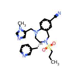 CCCS(=O)(=O)N1Cc2cc(C#N)ccc2N(Cc2cncn2C)C[C@H]1Cc1cccnc1